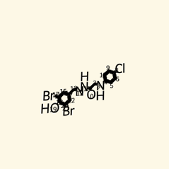 O=C(CNc1ccc(Cl)cc1)NN=Cc1cc(Br)c(O)c(Br)c1